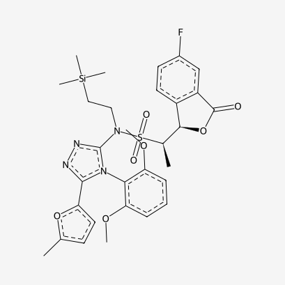 COc1cccc(OC)c1-n1c(-c2ccc(C)o2)nnc1N(CC[Si](C)(C)C)S(=O)(=O)[C@H](C)[C@@H]1OC(=O)c2cc(F)ccc21